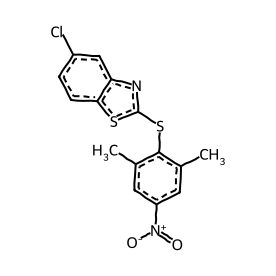 Cc1cc([N+](=O)[O-])cc(C)c1Sc1nc2cc(Cl)ccc2s1